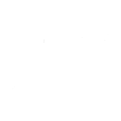 CCOC(=O)C(=O)/C=C(\O)c1cccc(C(F)(F)F)c1